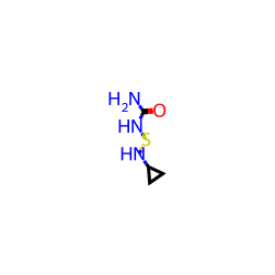 NC(=O)NSNC1CC1